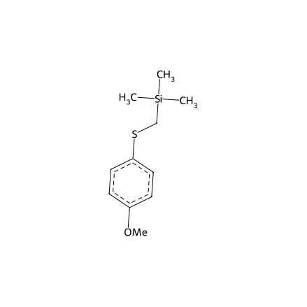 COc1ccc(SC[Si](C)(C)C)cc1